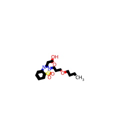 CCCCOCCCN1C(CC(=O)O)=Nc2ccccc2S1(=O)=O